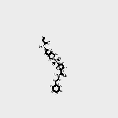 C=CC(=O)Nc1cc2c(o1)CN(S(=O)(=O)c1ccc(C(=O)NCCc3ccccc3)o1)C2